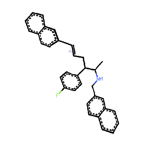 CC(NCc1ccc2ccccc2c1)C(C/C=C/c1ccc2ccccc2c1)c1ccc(F)cc1